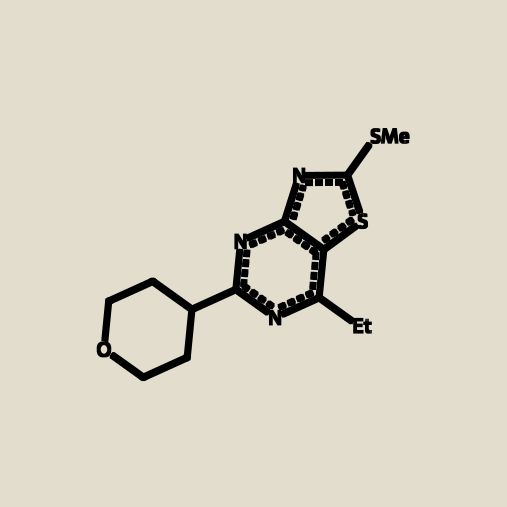 CCc1nc(C2CCOCC2)nc2nc(SC)sc12